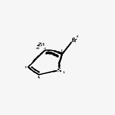 Brc1cccs1.[Zn]